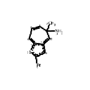 CC(C)c1cc2c(s1)=CC=CC(C)(N)C=2